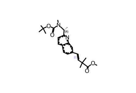 COC(=O)C(C)(C)/C=C/c1ccc2ccc([C@@H](C)N(C)C(=O)OC(C)(C)C)nc2c1